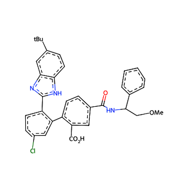 COCC(NC(=O)c1ccc(-c2cc(Cl)ccc2-c2nc3cc(C(C)(C)C)ccc3[nH]2)c(C(=O)O)c1)c1ccccc1